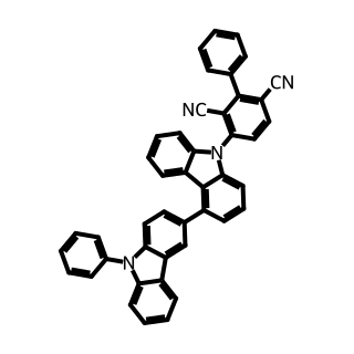 N#Cc1ccc(-n2c3ccccc3c3c(-c4ccc5c(c4)c4ccccc4n5-c4ccccc4)cccc32)c(C#N)c1-c1ccccc1